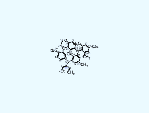 C=C/C(=C\CC)N(c1ccc(C(C)(C)C)cc1)c1cc(C)cc(N(c2ccc3c(c2)OCCO3)c2c(C)cc(C(C)(C)C)cc2C)c1Cl